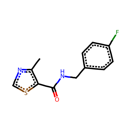 Cc1ncsc1C(=O)NCc1ccc(F)cc1